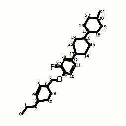 CCCC1C=CC(COc2ccc(C3CCC(C4CCC(C)CC4)CC3)cc2F)CC1